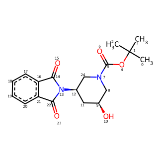 CC(C)(C)OC(=O)N1C[C@@H](O)C[C@@H](N2C(=O)c3ccccc3C2=O)C1